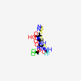 O=C(O)C1=C(CSc2nncs2)CS[C@@H]2[C@H](NC(=O)/C(=N/OC3CC3(Cl)Cl)c3csc(NC(=O)C(F)(F)F)n3)C(=O)N12